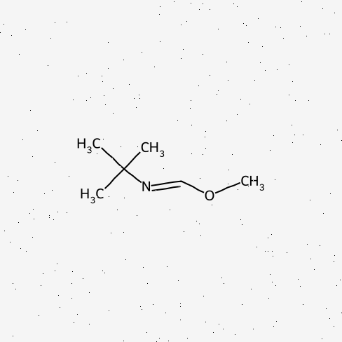 COC=NC(C)(C)C